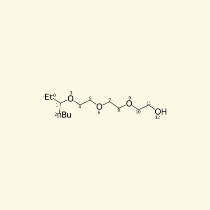 C[CH]C(CCCC)OCCOCCOCCO